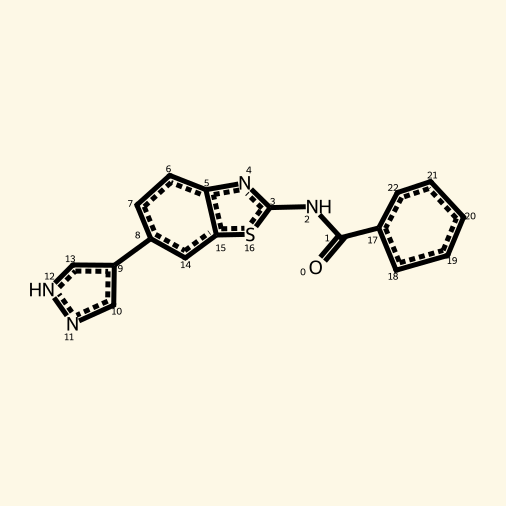 O=C(Nc1nc2ccc(-c3cn[nH]c3)cc2s1)c1ccccc1